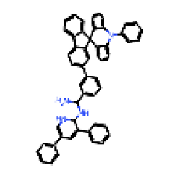 NC(NC1NC=C(c2ccccc2)C=C1c1ccccc1)c1cccc(-c2ccc3c(c2)C2(c4ccccc4-3)c3ccccc3N(c3ccccc3)c3ccccc32)c1